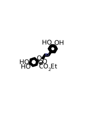 CCOC(=O)OC1(OC(=O)/C=C/c2ccc(O)c(O)c2)CCC(O)(O)CC1